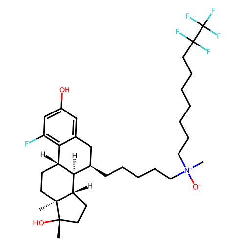 C[C@]1(O)CC[C@H]2[C@@H]3[C@H](CCCCC[N+](C)([O-])CCCCCCCC(F)(F)C(F)(F)F)Cc4cc(O)cc(F)c4[C@H]3CC[C@@]21C